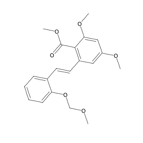 COCOc1ccccc1C=Cc1cc(OC)cc(OC)c1C(=O)OC